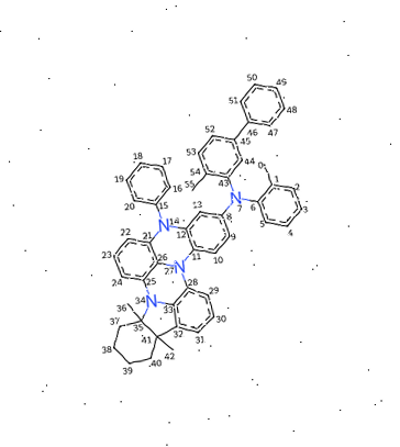 Cc1ccccc1N(c1ccc2c(c1)N(c1ccccc1)c1cccc3c1N2c1cccc2c1N3C1(C)CCCCC21C)c1cc(-c2ccccc2)ccc1C